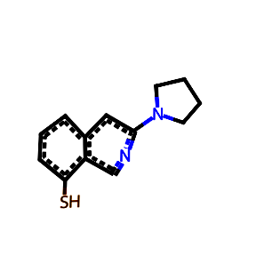 Sc1cccc2cc(N3CCCC3)ncc12